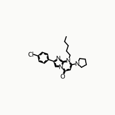 CCCCCn1c(N2CCCC2)cc(=O)n2cc(-c3ccc(Cl)cc3)nc12